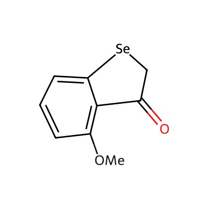 COc1cccc2c1C(=O)C[Se]2